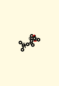 c1ccc(-c2cc(-c3ccccc3)nc(-c3ccc(-n4c5ccccc5c5cc6c(cc54)Oc4ccccc4C64c5ccccc5-n5c6ccccc6c6cccc4c65)cc3)n2)cc1